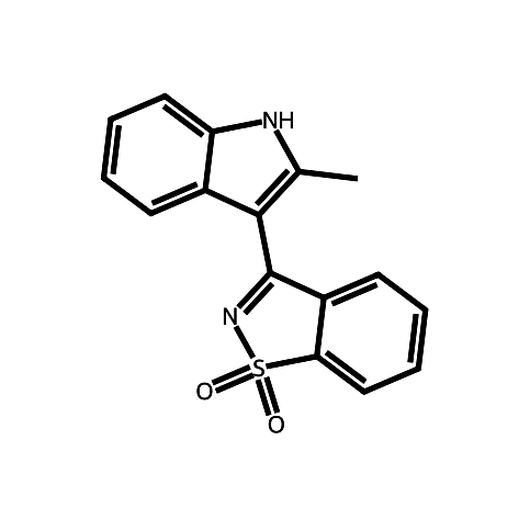 Cc1[nH]c2ccccc2c1C1=NS(=O)(=O)c2ccccc21